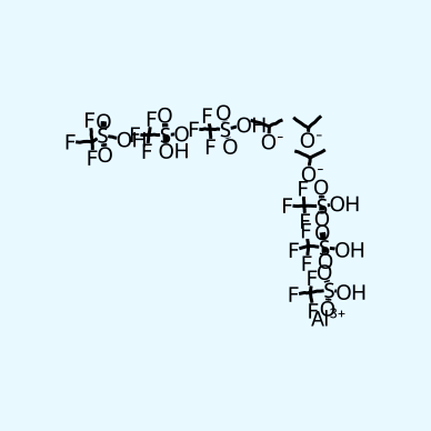 CC(C)[O-].CC(C)[O-].CC(C)[O-].O=S(=O)(O)C(F)(F)F.O=S(=O)(O)C(F)(F)F.O=S(=O)(O)C(F)(F)F.O=S(=O)(O)C(F)(F)F.O=S(=O)(O)C(F)(F)F.O=S(=O)(O)C(F)(F)F.[Al+3]